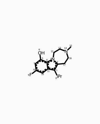 CC(C)c1c2n(c3c(O)cc(F)cc13)CCN(C)CC2